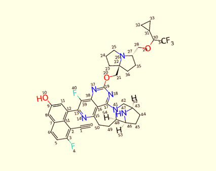 C#Cc1c(F)ccc2cc(O)cc(-c3nc4c5c(nc(OC[C@@]67CCCN6[C@H](COC(C6CC6)C(F)(F)F)CC7)nc5c3F)N3C[C@H]5CC[C@H](N5)[C@H]3CC4)c12